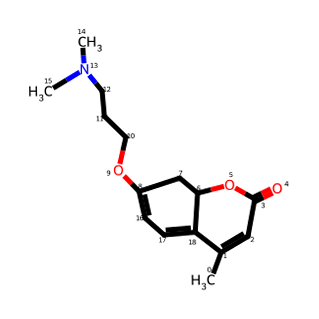 CC1=CC(=O)OC2CC(OCCCN(C)C)=CC=C12